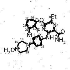 CCc1nc(C(N)=O)c(Nc2ccc(N3CCN(C)CC3)cc2)nc1Oc1cccc(N)c1F